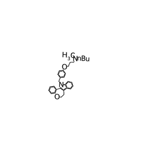 CCCCN(C)CCCOc1ccc(Cn2c3c(c4ccccc42)CCOc2ccccc2-3)cc1